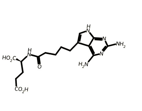 Nc1nc(N)c2c(CCCCC(=O)N[C@@H](CCC(=O)O)C(=O)O)c[nH]c2n1